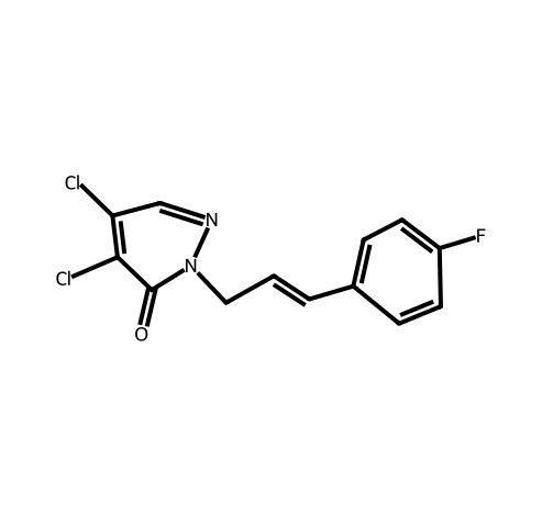 O=c1c(Cl)c(Cl)cnn1CC=Cc1ccc(F)cc1